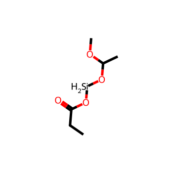 CCC(=O)O[SiH2]OC(C)OC